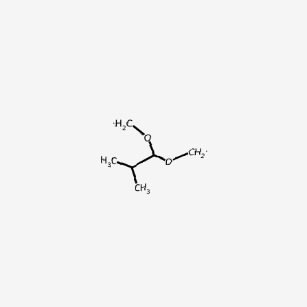 [CH2]OC(O[CH2])C(C)C